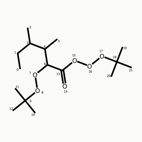 CCC(C)C(C)C(OOC(C)(C)C)C(=O)OOOC(C)(C)C